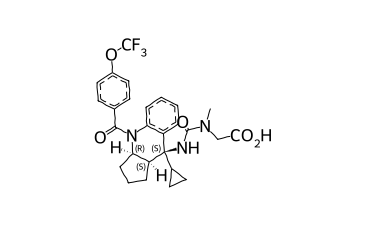 CN(CC(=O)O)C(=O)N[C@]1(C2CC2)c2ccccc2N(C(=O)c2ccc(OC(F)(F)F)cc2)[C@@H]2CCC[C@@H]21